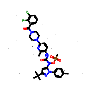 Cc1ccc(-n2nc(C(C)(C)C)cc2N(OS(C)(=O)=O)C(=O)Nc2ccc(N3CCN(C(=O)c4cccc(F)c4F)CC3)nc2C)cc1